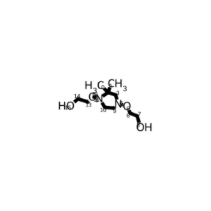 CC1(C)CN(OCCO)CCN1OCCO